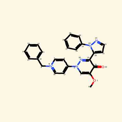 COc1cn(-c2cc[n+](Cc3ccccc3)cc2)nc(-c2ccnn2-c2ccccc2)c1=O